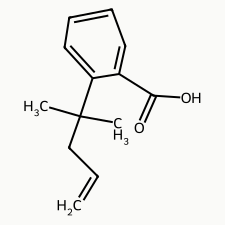 C=CCC(C)(C)c1ccccc1C(=O)O